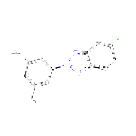 CC(C)(C)c1[c]c(-n2nc3ccc(Cl)cc3n2)cc(C(C)(C)C)c1